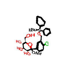 COC1(c2ccc(Cl)c(CO[Si](c3ccccc3)(c3ccccc3)C(C)(C)C)c2)O[C@H](CO)[C@@H](O)[C@H](O)[C@H]1O